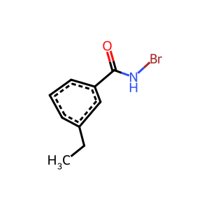 CCc1cccc(C(=O)NBr)c1